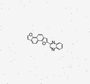 c1ccc2nc(-c3cc4ccc5c(ccc6ccoc65)c4o3)cnc2c1